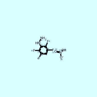 NNc1c(F)c(F)cc(F)c1F.O=[N+]([O-])O